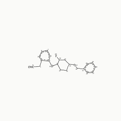 O=CCc1ccccc1OC1CCC(OCc2ccccc2)CC1F